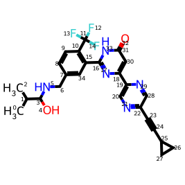 CC(C)C(O)NCc1ccc(C(F)(F)F)c(-c2nc(-c3cnc(C#CC4CC4)cn3)cc(=O)[nH]2)c1